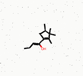 CCC=C(O)C1=C(C)C(C)(C)C(C)C1